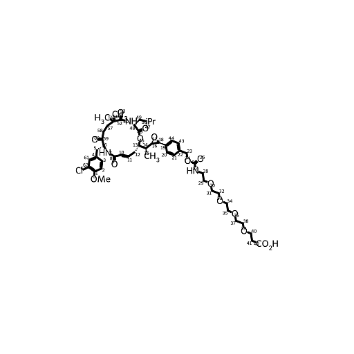 COc1ccc(C[C@H]2NC(=O)/C=C/C[C@@H]([C@H](C)[C@@H]3O[C@H]3c3ccc(COC(=O)NCCOCCOCCOCCOCCC(=O)O)cc3)OC(=O)[C@H](CC(C)C)NC(=O)C(C)(C)CCC2=O)cc1Cl